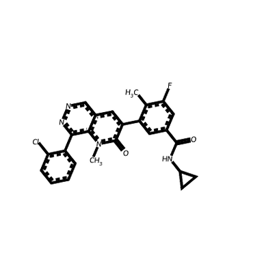 Cc1c(F)cc(C(=O)NC2CC2)cc1-c1cc2cnnc(-c3ccccc3Cl)c2n(C)c1=O